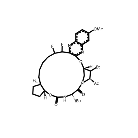 CCC1[C@@H]2CN(C(=O)[C@H](C(C)(C)C)NC(=O)O[C@@H]3CCC[C@H]3CCCCC(F)C(F)c3nc4ccc(OC)cc4nc3O2)[C@@H]1C(C)=O